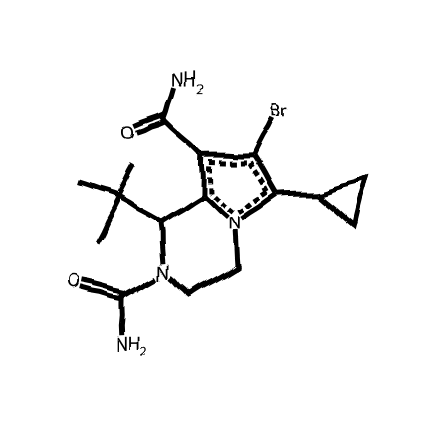 CC(C)(C)C1c2c(C(N)=O)c(Br)c(C3CC3)n2CCN1C(N)=O